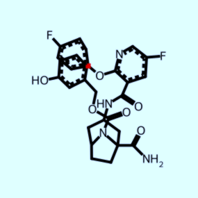 NC(=O)C12CCC(CC(NC(=O)c3cc(F)cnc3Oc3ccc(F)cc3)C1)N2C(=O)OCc1cccc(O)c1